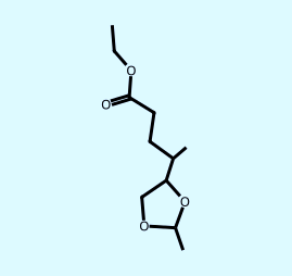 CCOC(=O)CCC(C)C1COC(C)O1